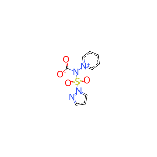 O=C([O-])N([n+]1ccccc1)S(=O)(=O)n1cccn1